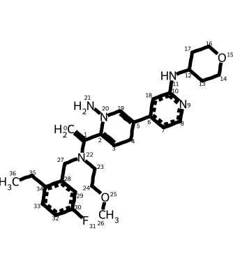 C=C(C1=CCC(c2ccnc(NC3CCOCC3)c2)=CN1N)N(CCOC)Cc1cc(F)ccc1CC